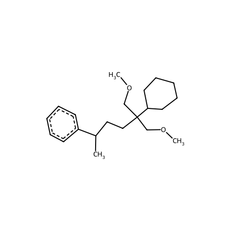 COCC(CCC(C)c1ccccc1)(COC)C1CCCCC1